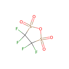 O=S1(=O)OS(=O)(=O)C(F)(F)C1(F)F